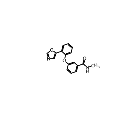 CNC(=O)c1cccc(Oc2ccccc2-c2cnco2)c1